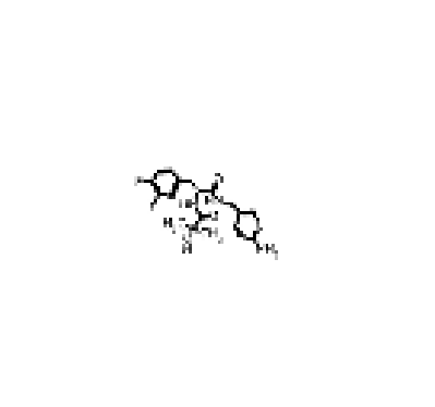 CC(C)(O)C(=O)N[C@@H](Cc1ccc(F)c(F)c1)C(=O)NCc1ccc(N)nc1